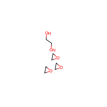 C1CO1.C1CO1.C1CO1.OCCO